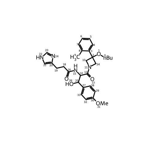 CCCCOC1(c2ccccc2C)CN(C(=O)C(NC(=O)CCc2c[nH]cn2)C(O)c2ccc(OC)cc2)C1